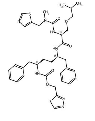 CC(C)COC[C@H](NC(=O)N(C)Cc1cncs1)C(=O)N[C@H](CC[C@H](Cc1ccccc1)NC(=O)OCc1cncs1)Cc1ccccc1